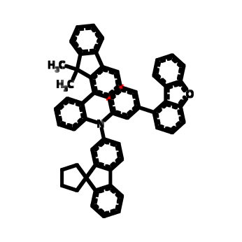 CC1(C)c2ccccc2-c2cccc(-c3ccccc3N(c3cccc(-c4cccc5oc6ccccc6c45)c3)c3ccc4c(c3)C3(CCCC3)c3ccccc3-4)c21